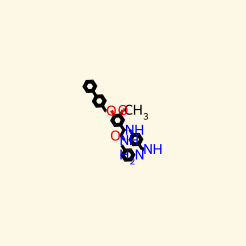 COc1cc([C@@H](Nc2ccc(C(=N)N)cc2)C(=O)NCc2ccccc2)ccc1OCc1ccc(-c2ccccc2)cc1